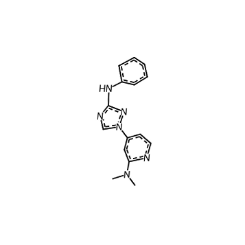 CN(C)c1cc(-n2cnc(Nc3ccccc3)n2)ccn1